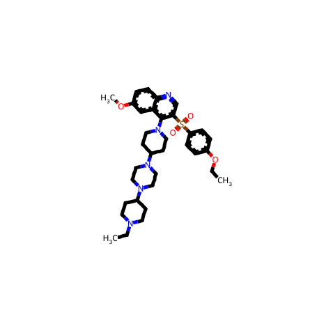 CCOc1ccc(S(=O)(=O)c2cnc3ccc(OC)cc3c2N2CCC(N3CCN(C4CCN(CC)CC4)CC3)CC2)cc1